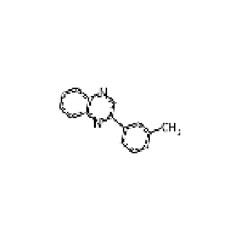 Cc1cccc(-c2cnc3ccccc3n2)c1